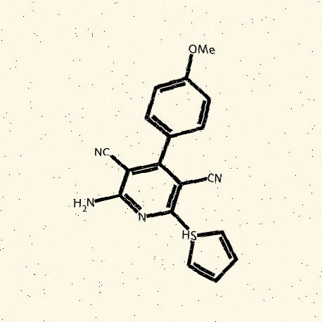 COc1ccc(-c2c(C#N)c(N)nc([SH]3C=CC=C3)c2C#N)cc1